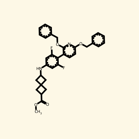 COC(=O)C1CC2(CC(Nc3cc(F)c(-c4ccc(OCc5ccccc5)nc4OCc4ccccc4)c(F)c3)C2)C1